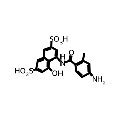 Cc1cc(N)ccc1C(=O)Nc1cc(S(=O)(=O)O)cc2cc(S(=O)(=O)O)cc(O)c12